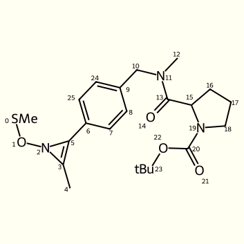 CSON1C(C)=C1c1ccc(CN(C)C(=O)C2CCCN2C(=O)OC(C)(C)C)cc1